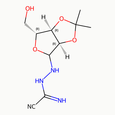 CC1(C)O[C@@H]2[C@@H](CO)OC(NNC(=N)C#N)[C@@H]2O1